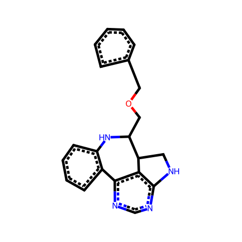 c1ccc(COCC2Nc3ccccc3-c3ncnc4c3C2CN4)cc1